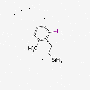 Cc1cccc(I)c1CC[SiH3]